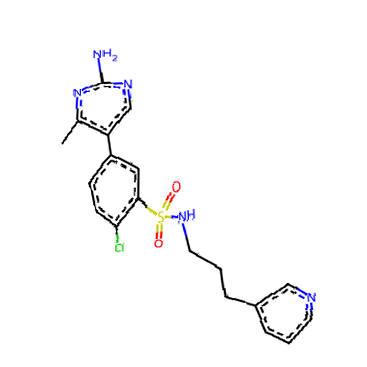 Cc1nc(N)ncc1-c1ccc(Cl)c(S(=O)(=O)NCCCc2cccnc2)c1